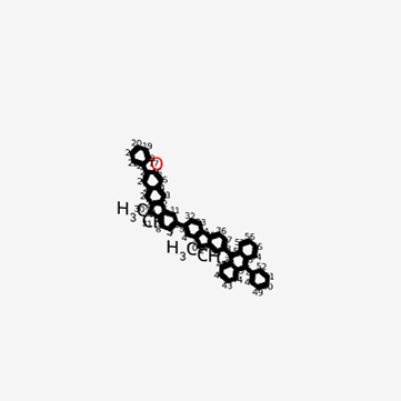 CC1(C)c2cc(-c3ccc4c(c3)-c3cc5cc6oc7ccccc7c6cc5cc3C4(C)C)ccc2-c2ccc(-c3c4ccccc4c(-c4ccccc4)c4ccccc34)cc21